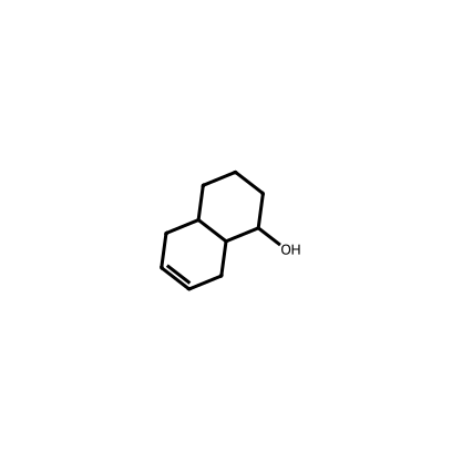 OC1CCCC2CC=CCC12